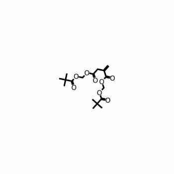 C=C(CC(=O)OCOC(=O)C(C)(C)C)C(=O)OCOC(=O)C(C)(C)C